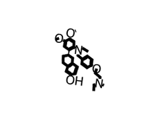 CCN(C)CCOc1ccc(CN(CC)c2cc(OC)c(OC)cc2[C@@H]2CCc3cc(O)ccc3C2)cc1